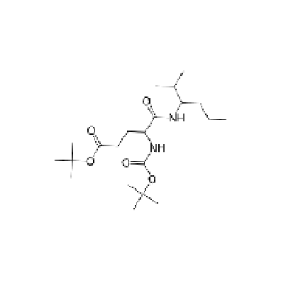 CCCC(NC(=O)C(CCC(=O)OC(C)(C)C)NC(=O)OC(C)(C)C)C(C)C